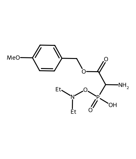 CCN(CC)OP(=O)(O)C(N)C(=O)OCc1ccc(OC)cc1